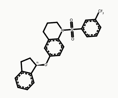 O=S(=O)(c1cccc(C(F)(F)F)c1)N1CCCc2cc(O[C@@H]3CCc4ccccc43)ccc21